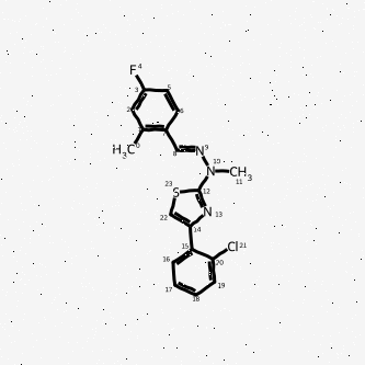 Cc1cc(F)ccc1/C=N/N(C)c1nc(-c2ccccc2Cl)cs1